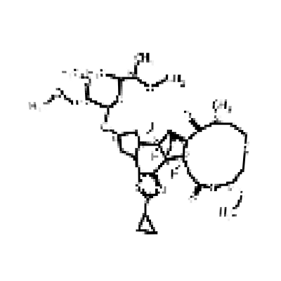 CC[C@H]1CCCC[C@@H](C)C(=O)C2=C[C@@H]3[C@@H](c4nc(C5CC5)sc4C4C[C@@H](OC(OC(C)[C@@H](C)OC)[C@H](COC)OC)C[C@H]43)[C@@H]2CC(=O)O1